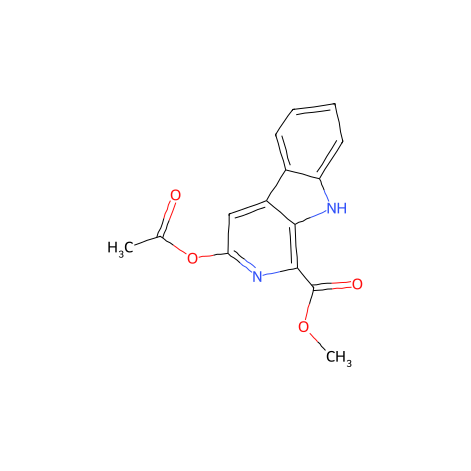 COC(=O)c1nc(OC(C)=O)cc2c1[nH]c1ccccc12